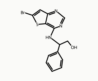 OCC(Nc1ncnc2cc(Br)sc12)c1ccccc1